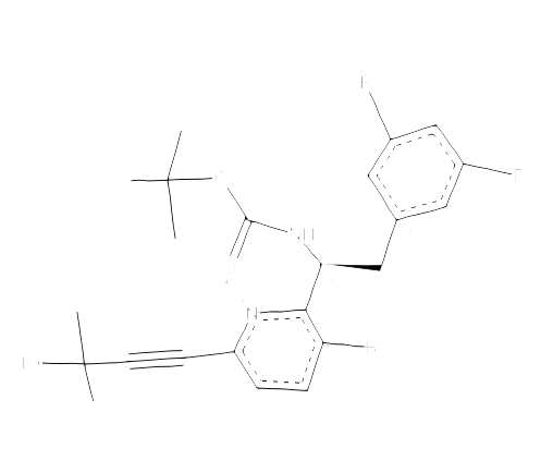 CC(C)(O)C#Cc1ccc(Br)c([C@H](Cc2cc(F)cc(F)c2)NC(=O)OC(C)(C)C)n1